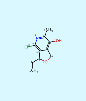 CCC1OCc2c(O)c(C)nc(Cl)c21